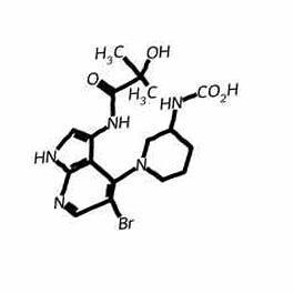 CC(C)(O)C(=O)Nc1c[nH]c2ncc(Br)c(N3CCCC(NC(=O)O)C3)c12